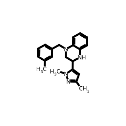 Cc1cccc(CN2CC(c3cc(C)nn3C)Nc3ccccc32)c1